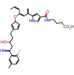 C=C(/C=C(\C=C/C)OC1C=CC(CCC(O)CC(=N)c2cc(C)ccc2F)=C1)c1cc(C(=O)NCCCC(=O)O)c[nH]1